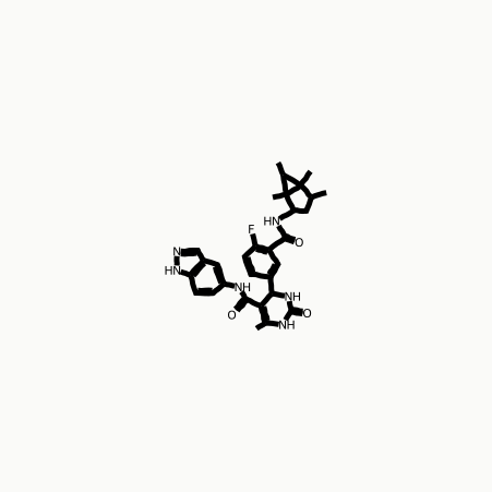 CC1=C(C(=O)Nc2ccc3[nH]ncc3c2)C(c2ccc(F)c(C(=O)NC3CC(C)C4(C)C(C)C34C)c2)NC(=O)N1